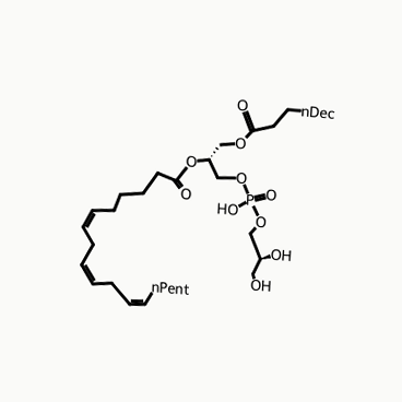 CCCCC/C=C\C/C=C\C/C=C\CCCCC(=O)O[C@H](COC(=O)CCCCCCCCCCCC)COP(=O)(O)OC[C@@H](O)CO